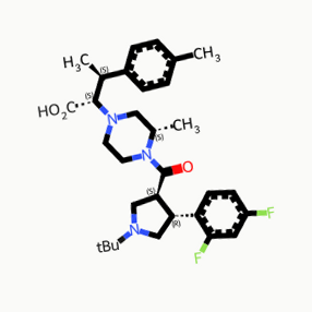 Cc1ccc([C@H](C)[C@@H](C(=O)O)N2CCN(C(=O)[C@@H]3CN(C(C)(C)C)C[C@H]3c3ccc(F)cc3F)[C@@H](C)C2)cc1